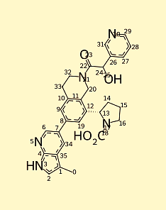 Cc1c[nH]c2ncc(-c3cc4c(c([C@@H]5CCCN5C(=O)O)c3)CN(C(=O)C(O)c3cccnc3)CC4)cc12